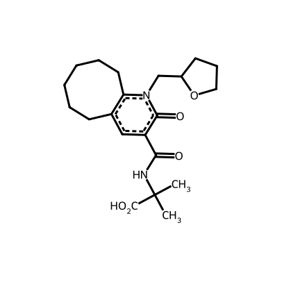 CC(C)(NC(=O)c1cc2c(n(CC3CCCO3)c1=O)CCCCCC2)C(=O)O